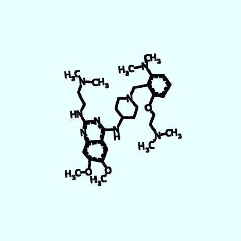 COc1cc2nc(NCCN(C)C)nc(NC3CCN(Cc4c(OCCN(C)C)cccc4N(C)C)CC3)c2cc1OC